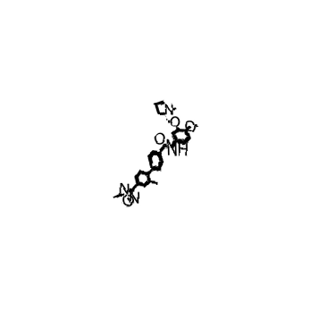 COc1ccc(NC(=O)c2ccc(-c3ccc(-c4noc(C)n4)cc3C)cc2)cc1OC[C@@H]1CCCN1C